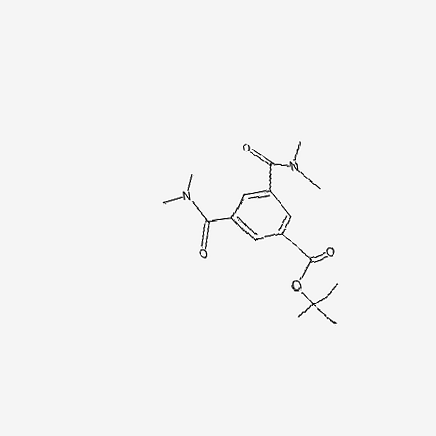 CN(C)C(=O)c1cc(C(=O)OC(C)(C)C)cc(C(=O)N(C)C)c1